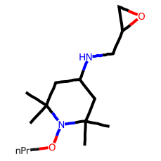 CCCON1C(C)(C)CC(NCC2CO2)CC1(C)C